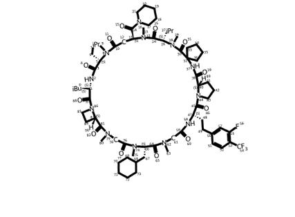 CC[C@H](C)[C@@H]1NC(=O)[C@H](CC(C)C)N(C)C(=O)C[C@@H](C(=O)N2CCCCC2)N(C)C(=O)[C@H](C(C)C)N(C)C(=O)C2(CCCC2)NC(=O)[C@@H]2CCCN2C(=O)[C@H](CCc2ccc(C(F)(F)F)c(F)c2)NC(=O)CN(C)C(=O)[C@H](CC2CCCCC2)N(C)C(=O)CN(C)C(=O)[C@@H]2CCN2C1=O